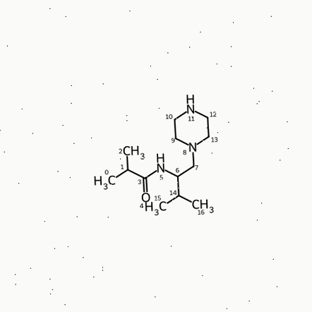 CC(C)C(=O)NC(CN1CCNCC1)C(C)C